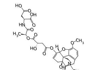 COc1ccc2c3c1O[C@H]1C(OC(=O)C[C@H](O)C(=O)O[C@@H](C)C(=O)N[C@@H](CC(=O)O)C(=O)O)=CC[C@@]4(O)[C@@H](C2)N(C)CC[C@]314